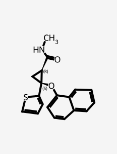 CNC(=O)[C@@H]1C[C@@]1(Oc1cccc2ccccc12)c1cccs1